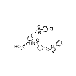 O=C(O)COc1ccc(CCCS(=O)(=O)c2ccc(Cl)cc2)cc1NC(=O)c1cccc(COc2nc(-c3ccccc3)cs2)c1